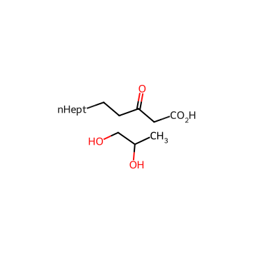 CC(O)CO.CCCCCCCCCC(=O)CC(=O)O